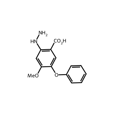 COc1cc(NN)c(C(=O)O)cc1Oc1ccccc1